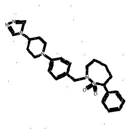 O=S1(=O)C(c2ccccc2)CCCCN1Cc1ccc(N2CCC(n3cnnc3)CC2)cc1